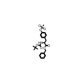 CC(C)(C)OC(=O)NC(Cc1ccc(OS(C)(=O)=O)cc1)C(=O)OCc1ccccc1